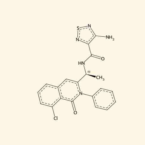 C[C@H](NC(=O)c1nsnc1N)c1cc2cccc(Cl)c2c(=O)n1-c1ccccc1